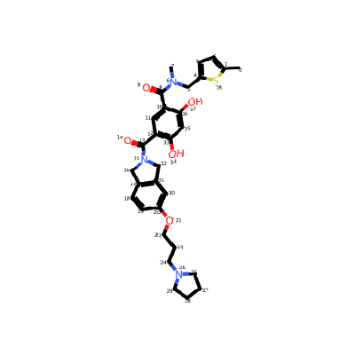 Cc1ccc(CN(C)C(=O)c2cc(C(=O)N3Cc4ccc(OCCCN5CCCC5)cc4C3)c(O)cc2O)s1